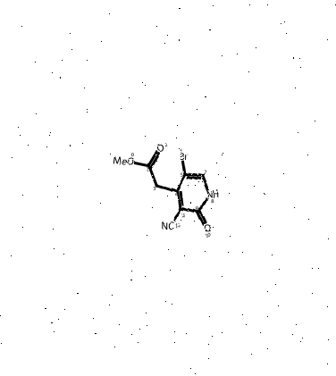 COC(=O)Cc1c(Br)c[nH]c(=O)c1C#N